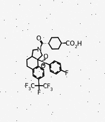 O=C(O)[C@H]1CC[C@H](C(=O)N2CC3CCc4cc(C(F)(C(F)(F)F)C(F)(F)F)ccc4C3(S(=O)(=O)c3ccc(F)cc3)C2)CC1